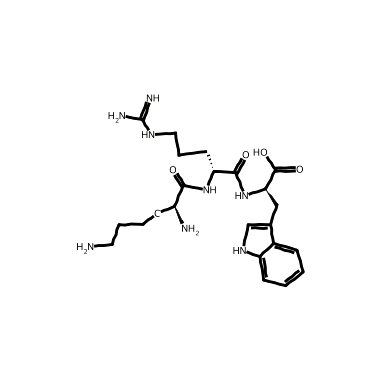 N=C(N)NCCC[C@@H](NC(=O)[C@@H](N)CCCCN)C(=O)N[C@H](Cc1c[nH]c2ccccc12)C(=O)O